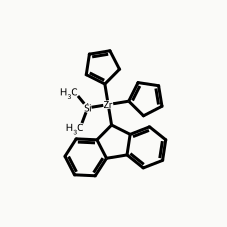 C[Si](C)[Zr]([C]1=CC=CC1)([C]1=CC=CC1)[CH]1c2ccccc2-c2ccccc21